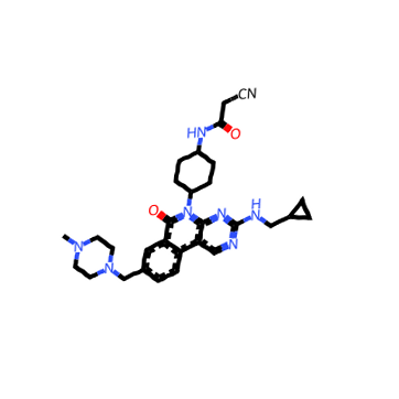 CN1CCN(Cc2ccc3c(c2)c(=O)n(C2CCC(NC(=O)CC#N)CC2)c2nc(NCC4CC4)ncc32)CC1